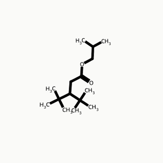 CC(C)COC(=O)CC(C(C)(C)C)C(C)(C)C